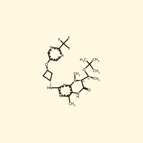 Cc1nc(N[C@H]2C[C@H](Oc3cnc(C(F)(F)F)nc3)C2)nc2c1NC(=O)[C@H]([C@H](C)OC(C)(C)C)N2C